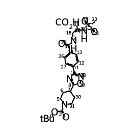 CC(C)(C)OC(=O)N1CCC(c2nc(-c3ccc(C(=O)NC[C@H](NS(C)(=O)=O)C(=O)O)cc3)no2)CC1